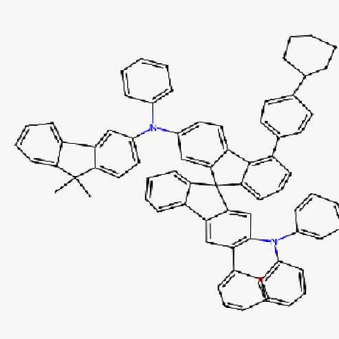 CC1(C)c2ccccc2-c2cc(N(c3ccccc3)c3ccc4c(c3)C3(c5ccccc5-c5cc(-c6ccccc6)c(N(c6ccccc6)c6ccccc6)cc53)c3cccc(-c5ccc(C6CCCCC6)cc5)c3-4)ccc21